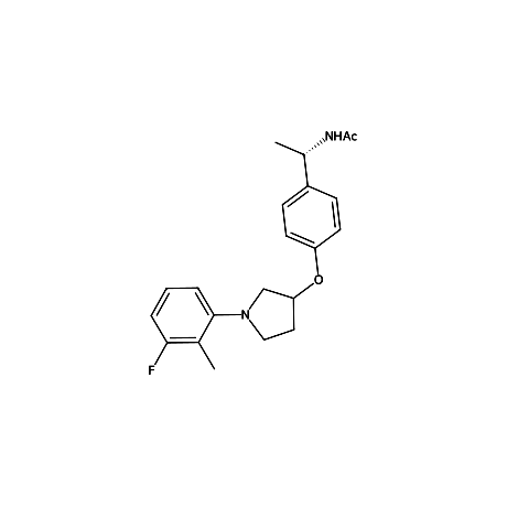 CC(=O)N[C@@H](C)c1ccc(OC2CCN(c3cccc(F)c3C)C2)cc1